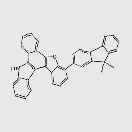 CC1(C)c2ccccc2-c2ccc(-c3cccc4c3oc3c5ccccc5c5[nH]c6ccccc6c5c43)cc21